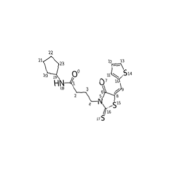 O=C(CCCN1C(=O)/C(=C\c2cccs2)SC1=S)NC1CCCC1